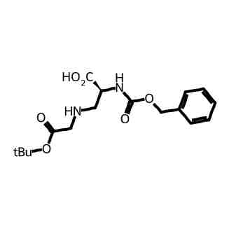 CC(C)(C)OC(=O)CNC[C@H](NC(=O)OCc1ccccc1)C(=O)O